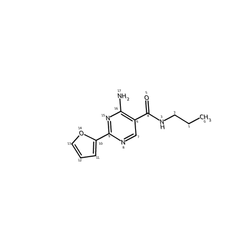 CCCNC(=O)c1cnc(-c2ccco2)nc1N